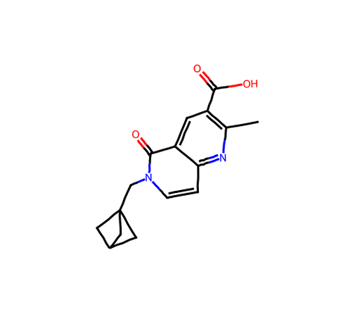 Cc1nc2ccn(CC34CC(C3)C4)c(=O)c2cc1C(=O)O